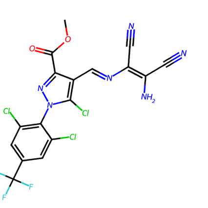 COC(=O)c1nn(-c2c(Cl)cc(C(F)(F)F)cc2Cl)c(Cl)c1C=NC(C#N)=C(N)C#N